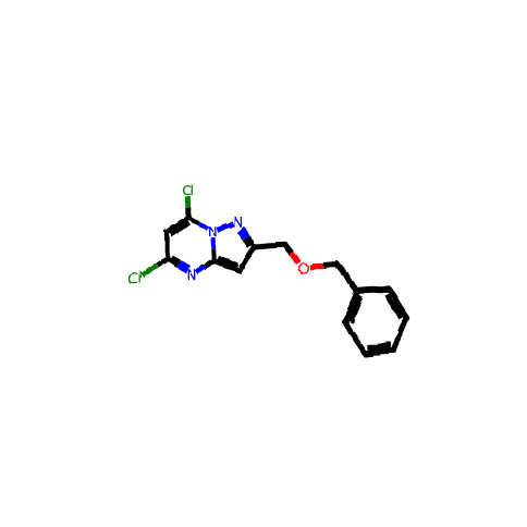 Clc1cc(Cl)n2nc(COCc3ccccc3)cc2n1